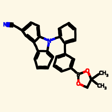 CC1(C)COB(c2cccc(-c3ccccc3-n3c4ccccc4c4cc(C#N)ccc43)c2)O1